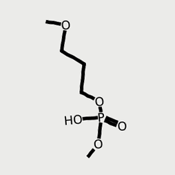 COCCCOP(=O)(O)OC